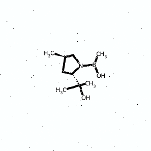 CB(O)N1C[C@H](C)C[C@H]1C(C)(C)O